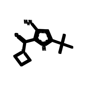 CC(C)(C)c1cc(N)c(C(=O)N2CCC2)[nH]1